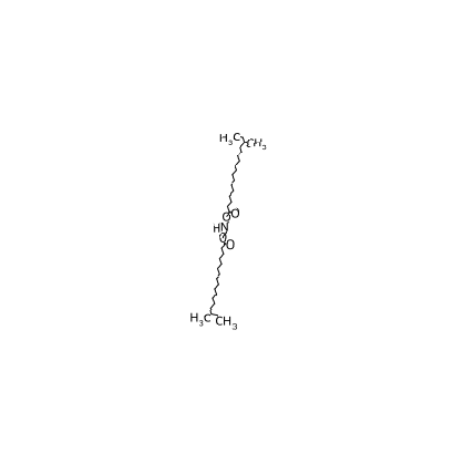 CCC(C)CCCCCCCCCCCCCC(=O)OCNCOC(=O)CCCCCCCCCCCCCC(C)CC